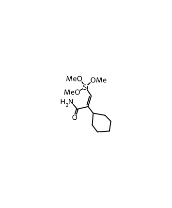 CO[Si](C=C(C(N)=O)C1CCCCC1)(OC)OC